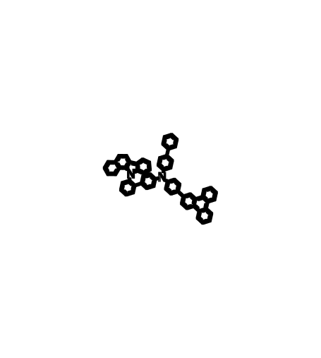 c1ccc(-c2ccc(N(c3ccc(-c4ccc5c6ccccc6c6ccccc6c5c4)cc3)c3ccc(-c4ccccc4-n4c5ccccc5c5ccc6ccccc6c54)cc3)cc2)cc1